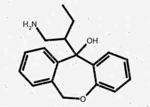 CCC(CN)C1(O)c2ccccc2COc2ccccc21